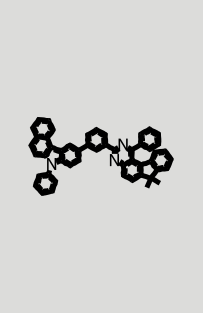 CC1(C)c2ccccc2-c2c1ccc1nc(-c3cccc(-c4ccc5c(c4)c4c6ccccc6ccc4n5-c4ccccc4)c3)nc(-c3ccccc3)c21